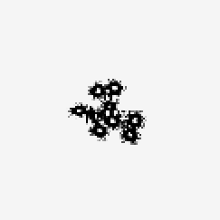 FC(F)(F)c1c(-c2ccc(-n3c4ccccc4c4ccccc43)cc2-c2nc(-c3ccccc3)nc(-c3ccccc3)n2)cccc1-n1c2ccccc2c2ccccc21